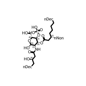 CCCCCCCCCCCCCC[C@H](CCCCCCCCC)CC(=O)O[C@@H]1[C@H](NC(=O)C[C@H](O)CCCCCCCCCCC)[C@@H](O)O[C@H](CO)[C@H]1OP(=O)(O)O